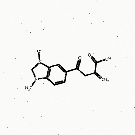 C=C(CC(=O)c1ccc2c(c1)[S+]([O-])CN2C)C(=O)O